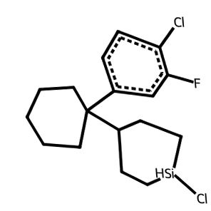 Fc1cc(C2(C3CC[SiH](Cl)CC3)CCCCC2)ccc1Cl